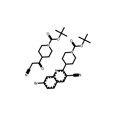 CC(C)(C)OC(=O)N1CCC(C(=O)CC#N)CC1.CC(C)(C)OC(=O)N1CCC(c2nc3cc(Br)ccc3cc2C#N)CC1